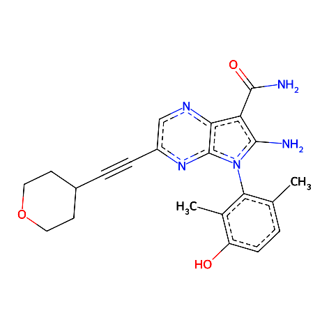 Cc1ccc(O)c(C)c1-n1c(N)c(C(N)=O)c2ncc(C#CC3CCOCC3)nc21